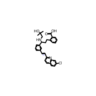 CC(C)(O)CNC(CCc1ccccc1C(=O)O)c1cccc(/C=C/c2ccc3ccc(Cl)cc3n2)c1